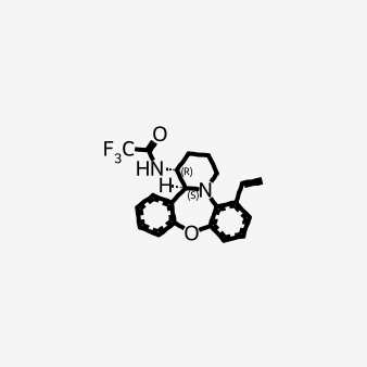 C=Cc1cccc2c1N1CCC[C@@H](NC(=O)C(F)(F)F)[C@@H]1c1ccccc1O2